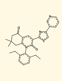 CCc1cccc(CC)c1-n1c2c(cc(-c3nc(-c4cccnc4)cs3)c1=O)C(=O)CC(C)(C)C2